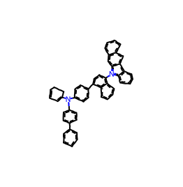 C1=CCCC(N(c2ccc(-c3ccccc3)cc2)c2ccc(-c3ccc(-n4c5ccccc5c5cc6ccccc6cc54)c4ccccc34)cc2)=C1